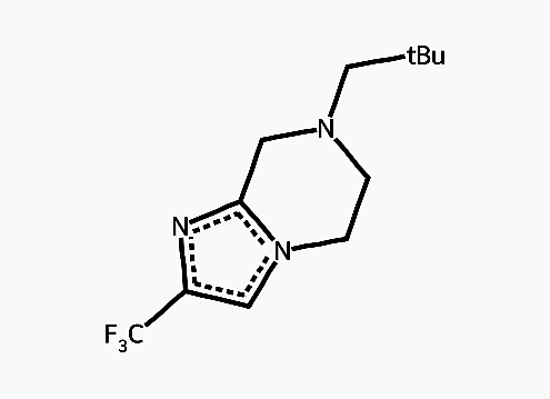 CC(C)(C)CN1CCn2cc(C(F)(F)F)nc2C1